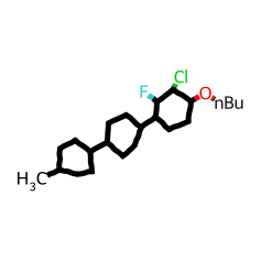 CCCCOC1CCC(C2CCC(C3CCC(C)CC3)CC2)C(F)C1Cl